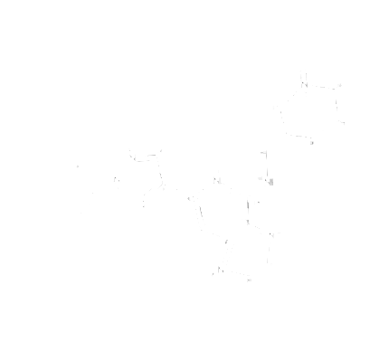 CC(C)n1cc(-c2cc3nccnc3c(NC[C@H]3CCCNC3)n2)cn1